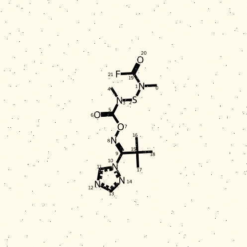 CN(SN(C)C(=O)ON=C(n1cncn1)C(C)(C)C)C(=O)F